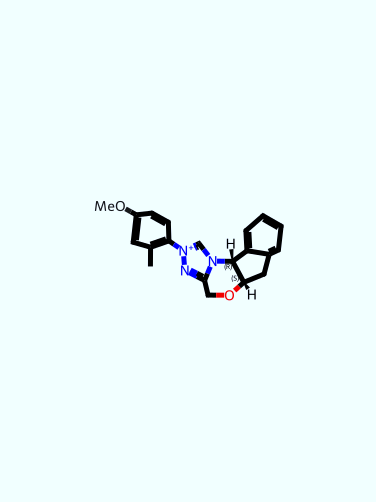 COc1ccc(-[n+]2cn3c(n2)CO[C@H]2Cc4ccccc4[C@H]23)c(C)c1